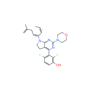 C=C(C)C/C=C(\C=C/C)N1CCc2c(-c3c(F)ccc(O)c3F)nc(N3CCOCC3)nc21